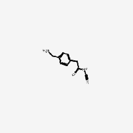 N#CNC(=O)Cc1ccc(CN)cc1